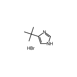 Br.CC(C)(C)c1c[nH]cn1